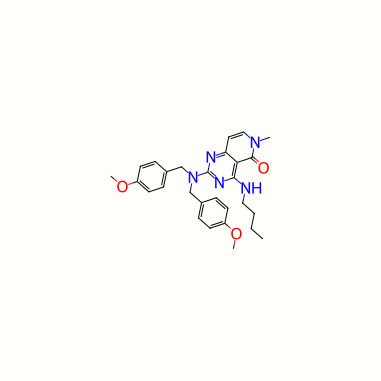 CCCCNc1nc(N(Cc2ccc(OC)cc2)Cc2ccc(OC)cc2)nc2ccn(C)c(=O)c12